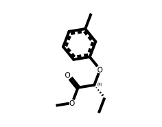 CC[C@@H](Oc1cccc(C)c1)C(=O)OC